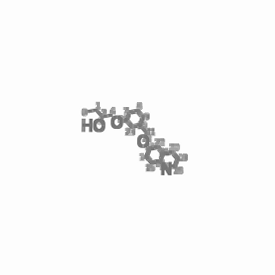 CCC(O)COc1cccc(COc2ccc3ncccc3c2)c1